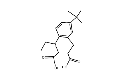 CCN(CC(=O)O)c1ccc(C(C)(C)C)cc1CCC(=O)O